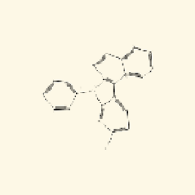 Brc1ccc2c3c4ccccc4ccc3n(-c3ccccc3)c2c1